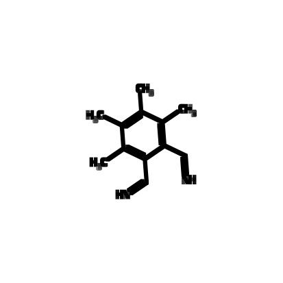 Cc1c(C)c(C)c(C=N)c(C=N)c1C